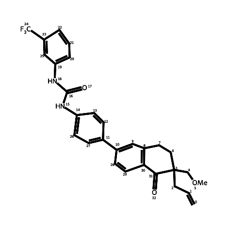 C=CCC1(COC)CCc2cc(-c3ccc(NC(=O)Nc4cccc(C(F)(F)F)c4)cc3)ccc2C1=O